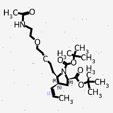 C/C=C\[C@@H]1C[C@H](C(=O)OC(C)(C)C)N(C(=O)OC(C)(C)C)[C@@H]1CCCCCOCCNC(C)=O